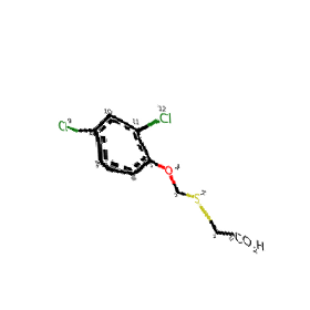 O=C(O)CSCOc1ccc(Cl)cc1Cl